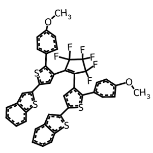 COc1ccc(-c2sc(-c3cc4ccccc4s3)cc2C2=C(c3cc(-c4cc5ccccc5s4)sc3-c3ccc(OC)cc3)C(F)(F)C(F)(F)C2(F)F)cc1